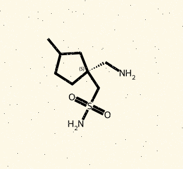 CC1CC[C@](CN)(CS(N)(=O)=O)C1